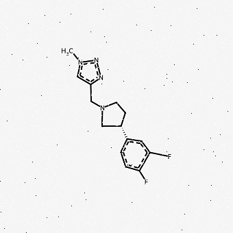 Cn1cc(CN2CC[C@H](c3ccc(F)c(F)c3)C2)nn1